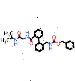 CC(C)NC(=O)CNC(=O)c1ccccc1-c1ccccc1CNC(=O)OCc1ccccc1